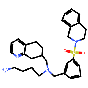 NCCCCN(Cc1cccc(S(=O)(=O)N2CCc3ccccc3C2)c1)CC1CCc2cccnc2C1